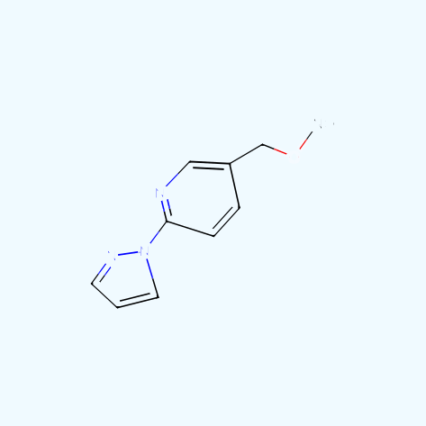 O=NOCc1ccc(-n2cccn2)nc1